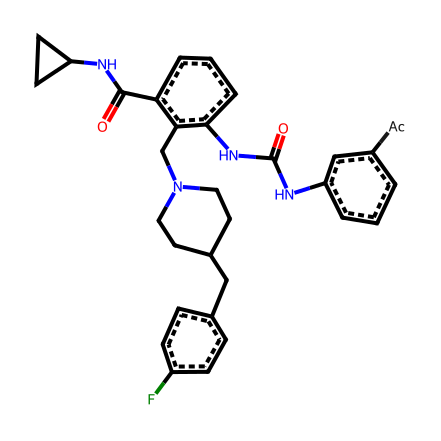 CC(=O)c1cccc(NC(=O)Nc2cccc(C(=O)NC3CC3)c2CN2CCC(Cc3ccc(F)cc3)CC2)c1